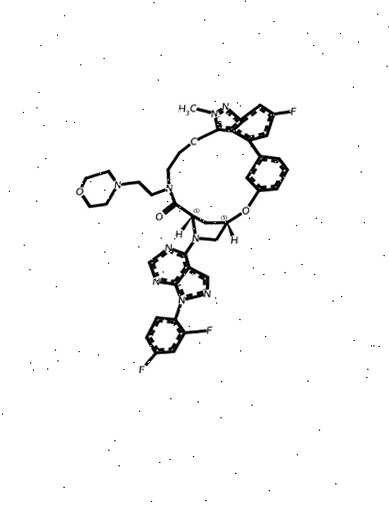 Cn1nc2cc(F)cc3c2c1CCCN(CCN1CCOCC1)C(=O)[C@@H]1C[C@@H](CN1c1ncnc2c1cnn2-c1ccc(F)cc1F)Oc1cccc-3c1